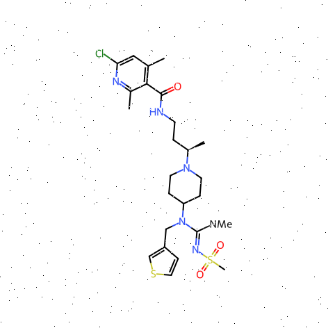 CN/C(=N\S(C)(=O)=O)N(Cc1ccsc1)C1CCN([C@H](C)CCNC(=O)c2c(C)cc(Cl)nc2C)CC1